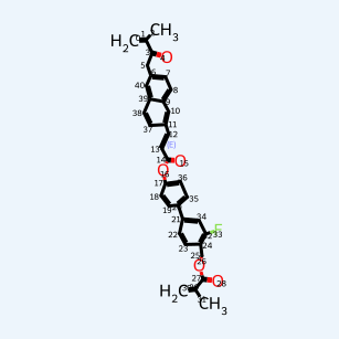 C=C(C)C(=O)Cc1ccc2cc(/C=C/C(=O)Oc3ccc(-c4ccc(COC(=O)C(=C)C)c(F)c4)cc3)ccc2c1